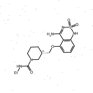 CCNC(=O)N1CCC[C@H](COc2cccc3c2C(N)=NS(=O)(=O)N3)C1